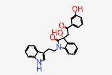 O=C(C[C@]1(O)C(=O)N(CCc2c[nH]c3ccccc23)c2ccccc21)c1cccc(O)c1